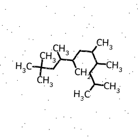 [CH2]C(CC(C)C(C)CC(C)C)C(C)CC(C)(C)C